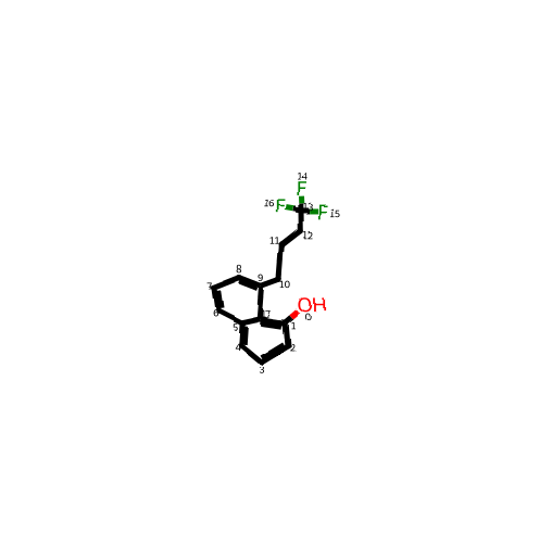 Oc1cccc2cccc(CCCC(F)(F)F)c12